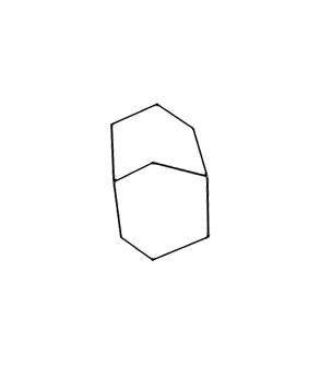 C1C[C]2CCCC(C1)C2